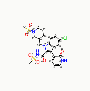 CS(=O)(=O)NC(=O)c1c(-c2ccc[nH]c2=O)c2cc(Cl)ccc2n1CC1CCCN(S(C)(=O)=O)C1